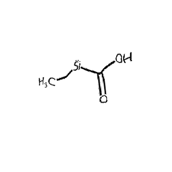 C[Si]C(=O)O